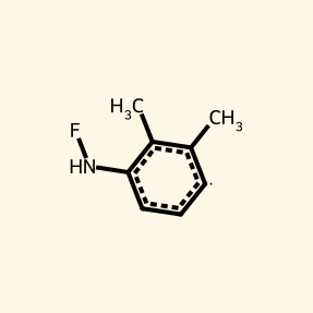 Cc1[c]ccc(NF)c1C